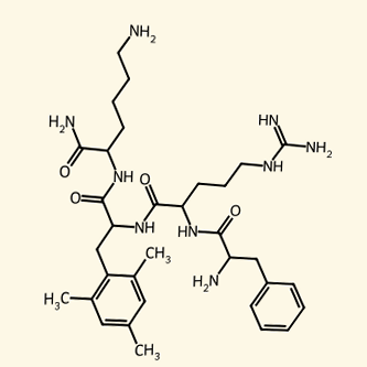 Cc1cc(C)c(CC(NC(=O)C(CCCNC(=N)N)NC(=O)C(N)Cc2ccccc2)C(=O)NC(CCCCN)C(N)=O)c(C)c1